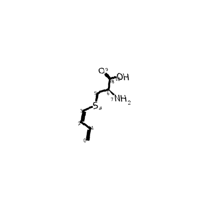 C=C/C=C\SC[C@H](N)C(=O)O